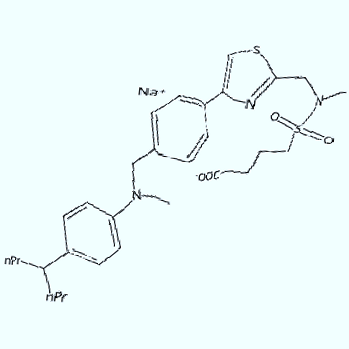 CCCC(CCC)c1ccc(N(C)Cc2ccc(-c3csc(CN(C)S(=O)(=O)CCCC(=O)[O-])n3)cc2)cc1.[Na+]